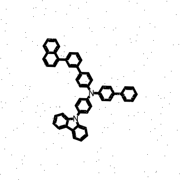 c1ccc(-c2ccc(N(c3ccc(-c4cccc(-c5cccc6ccccc56)c4)cc3)c3ccc(-n4c5ccccc5c5ccccc54)cc3)cc2)cc1